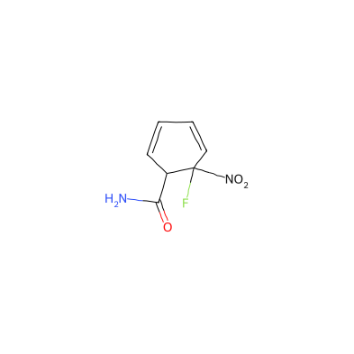 NC(=O)C1C=CC=CC1(F)[N+](=O)[O-]